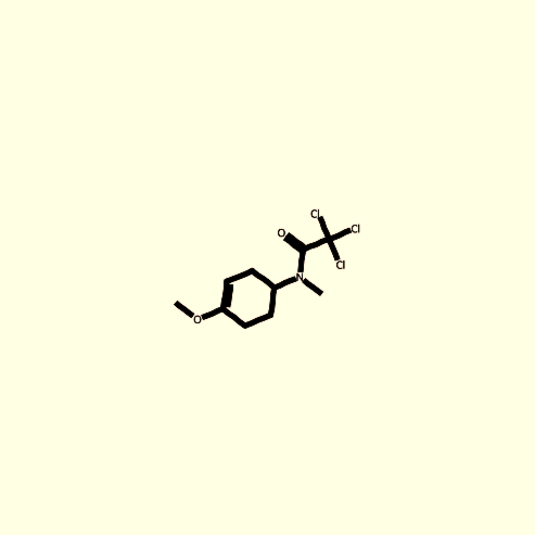 COC1=CCC(N(C)C(=O)C(Cl)(Cl)Cl)CC1